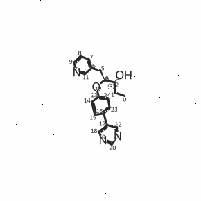 CC[C@@H](O)[C@H](Cc1cccnc1)Oc1ccc(-c2cncnc2)cc1